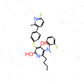 CCCCc1nc(O)c(Sc2ccc(-c3ccc(F)nc3C)cc2)c(O)c1N(C)c1ccccc1F